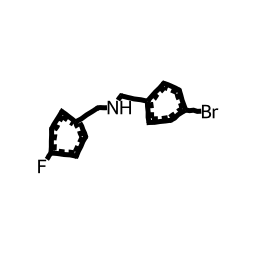 Fc1ccc(CNCc2ccc(Br)cc2)cc1